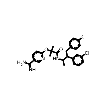 CC(NC(=O)C(C)(C)Oc1ccc(C(=N)N)cn1)C(Cc1ccc(Cl)cc1)c1cccc(Cl)c1